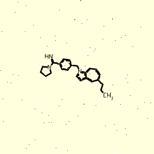 CCCC1C=CC=c2c(ccn2Cc2ccc(C(=N)N3CCCC3)cc2)=C1